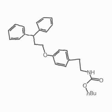 CCCCOC(=O)NCCc1ccc(OCCC(c2ccccc2)c2ccccc2)cc1